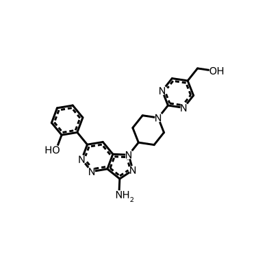 Nc1nn(C2CCN(c3ncc(CO)cn3)CC2)c2cc(-c3ccccc3O)nnc12